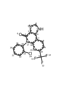 O=c1c2nc[nH]c2c2ccc(C(F)(F)F)nc2n1-c1ccccc1Cl